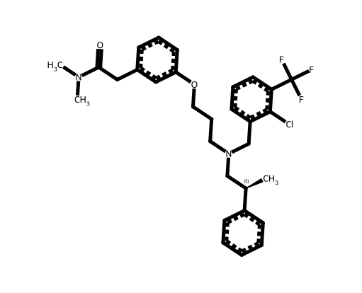 C[C@H](CN(CCCOc1cccc(CC(=O)N(C)C)c1)Cc1cccc(C(F)(F)F)c1Cl)c1ccccc1